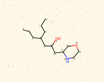 CCCC(CCC)CC(O)CC1COCCN1